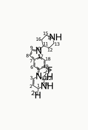 [2H]C1C=CN(c2cc3ccn(C4CCNCC4)c3cc2F)C([2H])N1